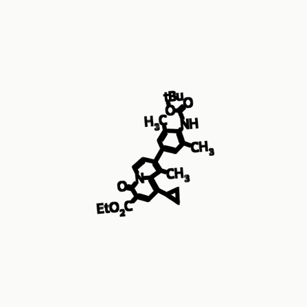 CCOC(=O)c1cc(C2CC2)c2c(C)c(-c3cc(C)c(NC(=O)OC(C)(C)C)c(C)c3)ccn2c1=O